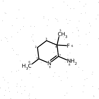 CC1CCC(C)(F)C(N)=N1